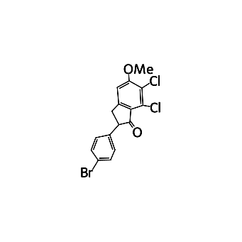 COc1cc2c(c(Cl)c1Cl)C(=O)C(c1ccc(Br)cc1)C2